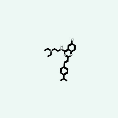 CCN(CC)CCNc1nc(C=Cc2ccc(C(C)C)cc2)nc2ccc(Cl)cc12